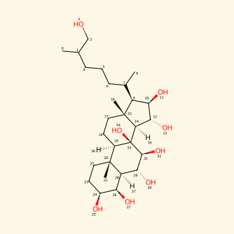 CC(CO)CCCC(C)[C@H]1[C@@H](O)[C@H](O)[C@@H]2[C@]1(C)CC[C@@H]1[C@@]3(C)CC[C@H](O)[C@H](O)[C@@H]3[C@@H](O)[C@H](O)[C@]12O